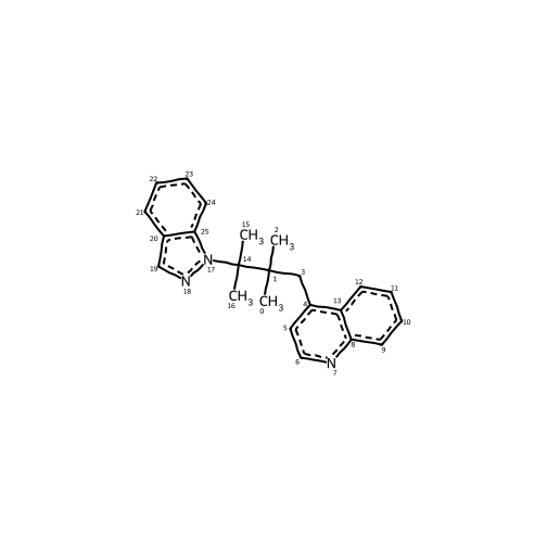 CC(C)(Cc1ccnc2ccccc12)C(C)(C)n1ncc2ccccc21